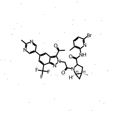 CC(=O)c1c2cc(-c3cnc(C)nc3)cc(C(F)(F)F)c2nn1CC(=O)N1C(C(=O)Nc2nc(Br)ccc2C)C[C@@]2(C)C[C@@H]12